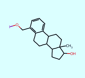 CC12CCC3c4cccc(COI)c4CCC3C1CCC2O